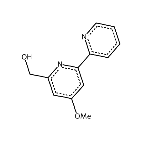 COc1cc(CO)nc(-c2ccccn2)c1